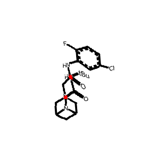 CC(C)(C)NC(=O)CN1C2CC1CN(CC(=O)Nc1cc(Cl)ccc1F)C2